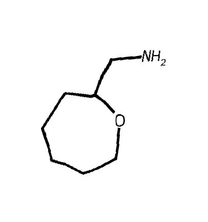 NCC1CCCCCO1